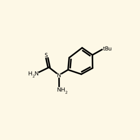 CC(C)(C)c1ccc(N(N)C(N)=S)cc1